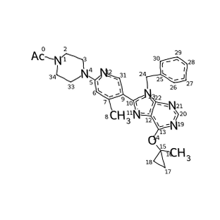 CC(=O)N1CCN(c2cc(C)c(-c3nc4c(OC5(C)CC5)ncnc4n3Cc3ccccc3)cn2)CC1